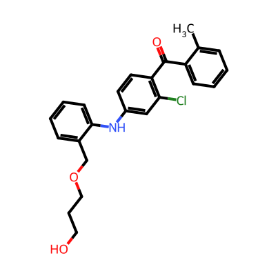 Cc1ccccc1C(=O)c1ccc(Nc2ccccc2COCCCO)cc1Cl